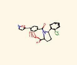 O=C(O)[C@@H]1CC[C@H](c2ccccc2Cl)N1C(=O)c1ccc(-c2ccno2)cc1